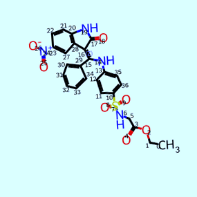 CCOC(=O)CNS(=O)(=O)c1ccc(N/C(=C2\C(=O)Nc3ccc([N+](=O)[O-])cc32)c2ccccc2)cc1